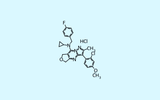 COc1ccc(-c2c(C)nn3c(N(Cc4ccc(F)cc4)C4CC4)c4c(nc23)COC4)c(Cl)c1.Cl